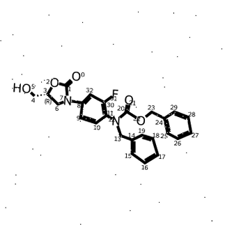 O=C1O[C@@H](CO)CN1c1ccc(N(Cc2ccccc2)C(=O)OCc2ccccc2)c(F)c1